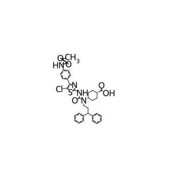 CS(=O)(=O)Nc1ccc(-c2nc(NC(=O)N(CCC(c3ccccc3)c3ccccc3)[C@H]3CC[C@H](C(=O)O)CC3)sc2Cl)cc1